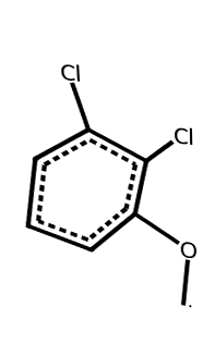 [CH2]Oc1cccc(Cl)c1Cl